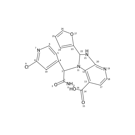 NC(=O)C(c1ccnc(Cl)c1)N1c2c(C(=O)O)ccnc2NC1c1ccco1